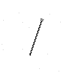 C=CCCCCCCCCCCCCCCCCCCCCCCCBr